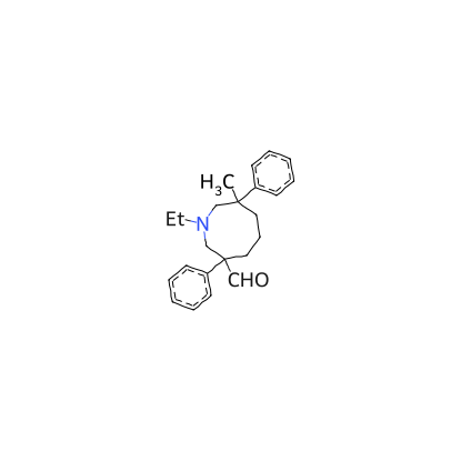 CCN1CC(C)(c2ccccc2)CCCC(C=O)(c2ccccc2)C1